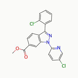 COC(=O)c1ccc2c(-c3ccccc3Cl)nn(-c3ccc(Cl)cn3)c2c1